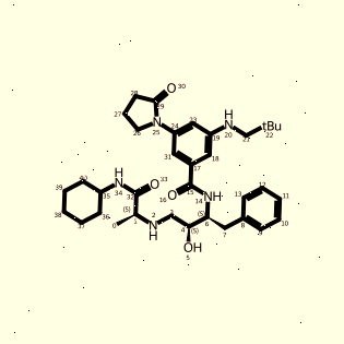 C[C@H](NC[C@H](O)[C@H](Cc1ccccc1)NC(=O)c1cc(NCC(C)(C)C)cc(N2CCCC2=O)c1)C(=O)NC1CCCCC1